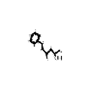 CC(O)CC(C)CCc1ccccc1